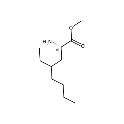 CCCCC(CC)C[C@H](N)C(=O)OC